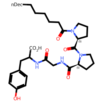 CCCCCCCCCCCCCCCC(=O)N1CCC[C@H]1C(=O)N1CCC[C@H]1C(=O)NCC(=O)NC(Cc1ccc(O)cc1)C(=O)O